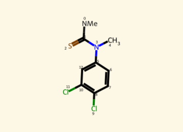 CNC(=S)N(C)c1ccc(Cl)c(Cl)c1